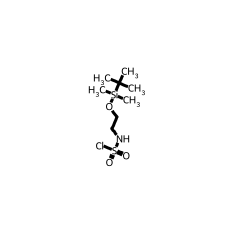 CC(C)(C)[Si](C)(C)OCCNS(=O)(=O)Cl